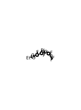 CCC1COC(c2ccc(-c3cc(F)c(C(F)(F)Oc4ccc(OC=C(F)F)c(F)c4)c(F)c3)c(F)c2)OC1